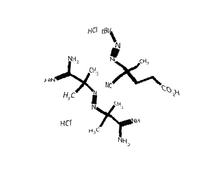 CC(C)(C)N=NC(C)(C#N)CCC(=O)O.CC(C)(N=NC(C)(C)C(=N)N)C(=N)N.Cl.Cl